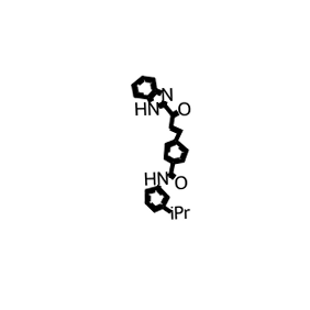 CC(C)c1cccc(NC(=O)c2ccc(C=CC(=O)c3nc4ccccc4[nH]3)cc2)c1